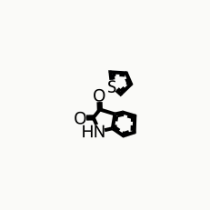 O=C1Nc2ccccc2C1=O.c1ccsc1